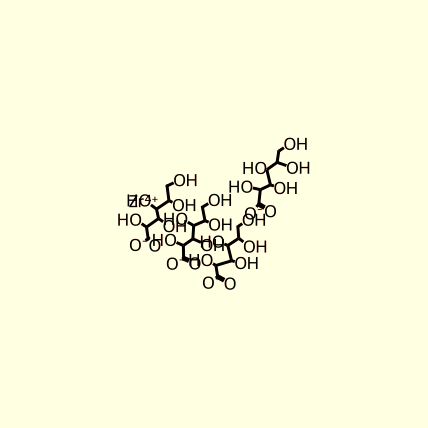 O=C([O-])C(O)C(O)C(O)C(O)CO.O=C([O-])C(O)C(O)C(O)C(O)CO.O=C([O-])C(O)C(O)C(O)C(O)CO.O=C([O-])C(O)C(O)C(O)C(O)CO.[Zr+4]